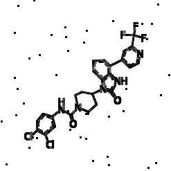 O=C(Nc1ccc(Cl)c(Cl)c1)N1CCC(n2c(=O)[nH]c3c(-c4ccnc(C(F)(F)F)c4)cccc32)CC1